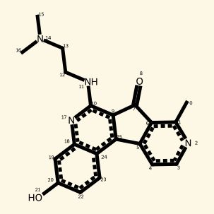 Cc1nccc2c1C(=O)c1c(NCCN(C)C)nc3cc(O)ccc3c1-2